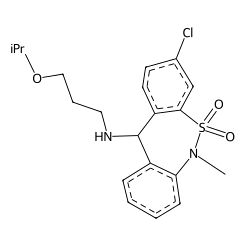 CC(C)OCCCNC1c2ccccc2N(C)S(=O)(=O)c2cc(Cl)ccc21